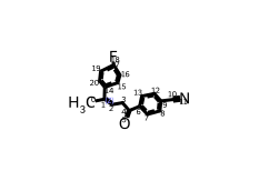 C/C(=C/CC(=O)c1ccc(C#N)cc1)c1ccc(F)cc1